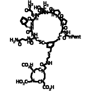 CCCCCC(=O)N[C@H]1CSCc2cc(CSCCNC(=O)CN3CCN(CC(=O)O)CCN(CC(=O)O)CCN(CC(=O)O)CC3)cc(c2)CSC[C@@H](C(=O)NCCC(N)=O)NC(=O)[C@H](Cc2ccccc2)NC(=O)[C@H](CCC(N)=O)NC(O)[C@H]([C@@H](C)O)NC(=O)[C@@H]2CCCN2C(=O)[C@@H]2CCCN2C1=O